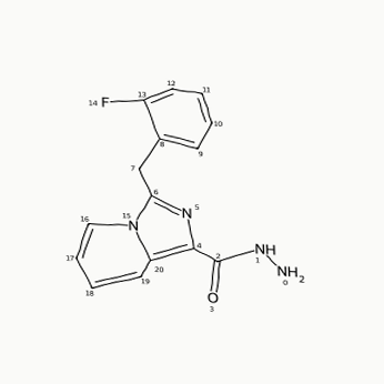 NNC(=O)c1nc(Cc2ccccc2F)n2ccccc12